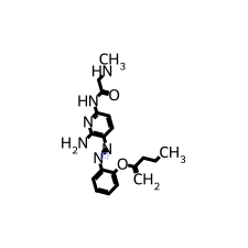 C=C(CCC)Oc1ccccc1/N=N/c1ccc(NC(=O)CNC)nc1N